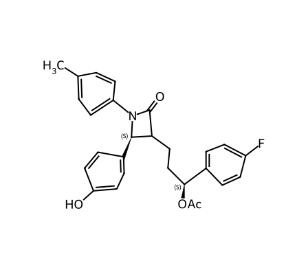 CC(=O)O[C@@H](CCC1C(=O)N(c2ccc(C)cc2)[C@@H]1c1ccc(O)cc1)c1ccc(F)cc1